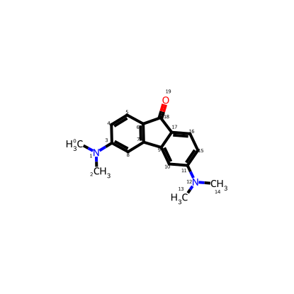 CN(C)c1ccc2c(c1)-c1cc(N(C)C)ccc1C2=O